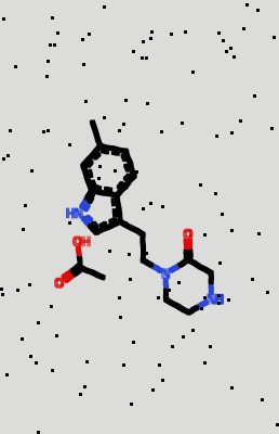 CC(=O)O.Cc1ccc2c(CCN3CCNCC3=O)c[nH]c2c1